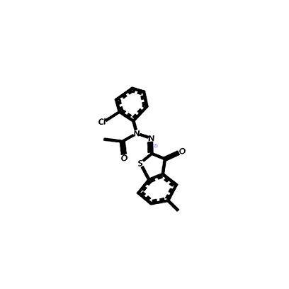 CC(=O)N(/N=C1\Sc2ccc(C)cc2C1=O)c1ccccc1Cl